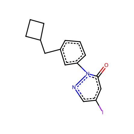 O=c1cc(I)cnn1-c1cccc(CC2CCC2)c1